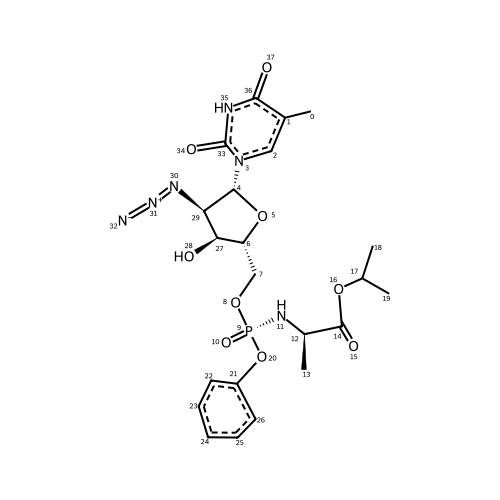 Cc1cn([C@@H]2O[C@H](CO[P@@](=O)(N[C@H](C)C(=O)OC(C)C)Oc3ccccc3)[C@@H](O)[C@H]2N=[N+]=[N-])c(=O)[nH]c1=O